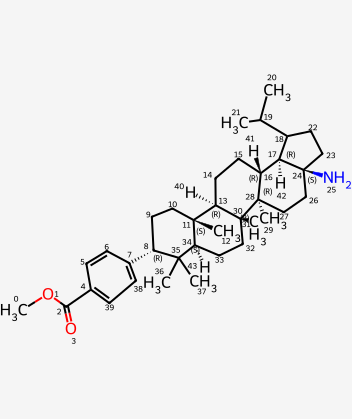 COC(=O)c1ccc([C@@H]2CC[C@]3(C)[C@H]4CC[C@@H]5[C@H]6C(C(C)C)CC[C@]6(N)CC[C@@]5(C)[C@]4(C)CC[C@H]3C2(C)C)cc1